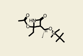 CCC1(OC(C)=O)NC(=O)C1[C@@H](C)O[Si](C)(C)C(C)(C)C